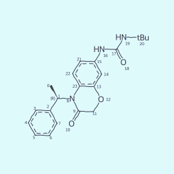 C[C@H](c1ccccc1)N1C(=O)COc2cc(NC(=O)NC(C)(C)C)ccc21